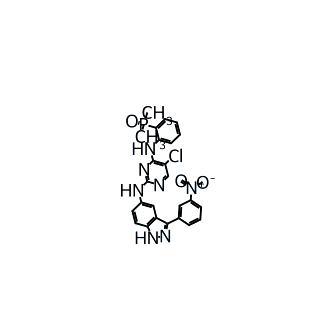 CP(C)(=O)c1ccccc1Nc1nc(Nc2ccc3[nH]nc(-c4cccc([N+](=O)[O-])c4)c3c2)ncc1Cl